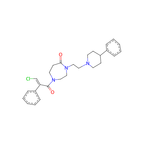 O=C1CCN(C(=O)C(=CCl)c2ccccc2)CCN1CCN1CCC(c2ccccc2)CC1